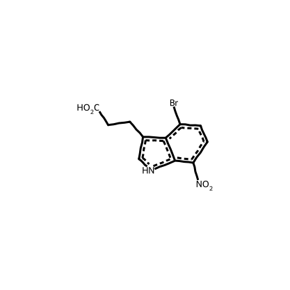 O=C(O)CCc1c[nH]c2c([N+](=O)[O-])ccc(Br)c12